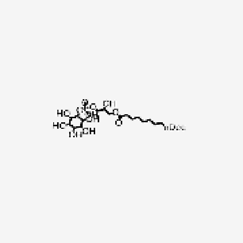 CCCCCCCCCCCCCCCCCC(=O)OCC(O)COP(=O)(O)OC1C(O)C(O)C(O)C(O)C1O